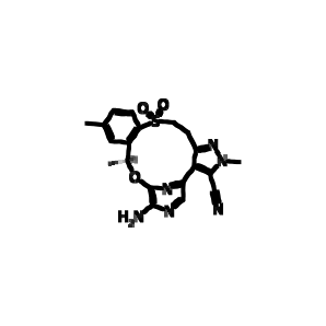 Cc1ccc2c(c1)[C@@H](C)Oc1nc(cnc1N)-c1c(nn(C)c1C#N)CCS2(=O)=O